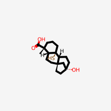 C[C@@]1(C(=O)O)CCC[C@@]2(S)[C@@H]3CC[C@@]4(O)CC[C@]3(CC[C@@H]21)C4